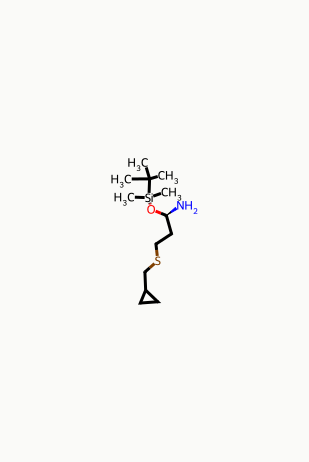 CC(C)(C)[Si](C)(C)O[C@@H](N)CCSCC1CC1